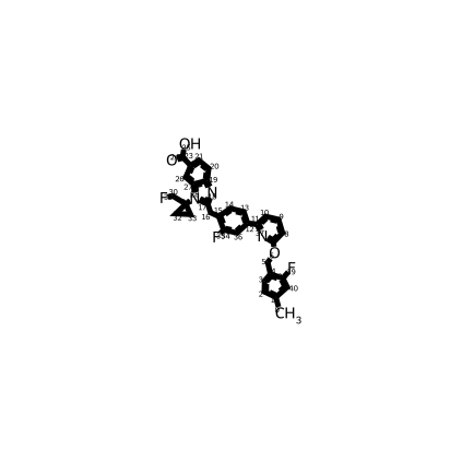 Cc1ccc(COc2cccc(-c3ccc(Cc4nc5ccc(C(=O)O)cc5n4C4(CF)CC4)c(F)c3)n2)c(F)c1